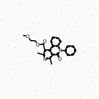 COCCOC(=O)c1c(C)nc(C)c2c(=O)n(-c3ccccc3)c3ccccc3c12